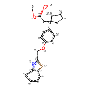 COC(=O)CC1(c2ccc(OCc3nc4ccccc4s3)cc2)CCCC1